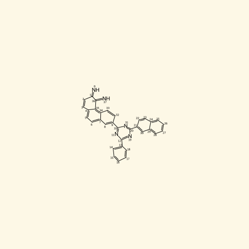 N=C1C=Cc2ccc3cc(-c4nc(-c5ccccc5)nc(-c5ccc6ccccc6c5)n4)ccc3c2C1=N